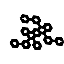 c1ccc(-c2cccc(-c3c(-c4cccnc4)c4cc5c(-c6cccc(-c7ccncc7)c6)c6ccccc6c(-c6cccc(-c7ccncc7)c6)c5cc4c4ccccc34)c2)cc1